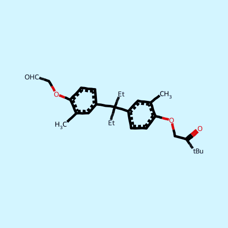 CCC(CC)(c1ccc(OCC=O)c(C)c1)c1ccc(OCC(=O)C(C)(C)C)c(C)c1